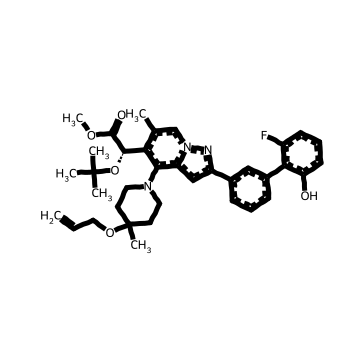 C=CCOC1(C)CCN(c2c([C@H](OC(C)(C)C)C(=O)OC)c(C)cn3nc(-c4cccc(-c5c(O)cccc5F)c4)cc23)CC1